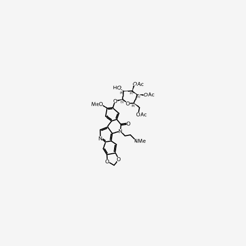 CNCCn1c(=O)c2cc(O[C@@H]3O[C@H](COC(C)=O)[C@H](OC(C)=O)[C@H](OC(C)=O)[C@H]3O)c(OC)cc2c2cnc3cc4c(cc3c21)OCO4